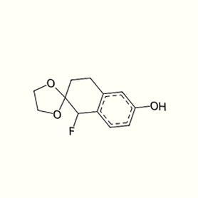 Oc1ccc2c(c1)CCC1(OCCO1)C2F